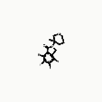 CC1(N2Cc3c(F)c(F)c(F)c(F)c3C2=O)CCCNC1